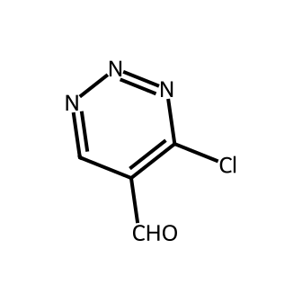 O=Cc1cnnnc1Cl